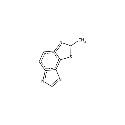 CC1N=c2ccc3c(c2S1)N=CN=3